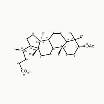 CC(=O)O[C@H]1CC[C@]2(C)C3CC[C@]4(C)C([C@H](C)CCC(=O)O)CC[C@@]4(C)C3CCC2C1(C)C